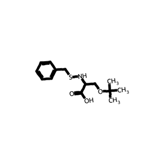 CC(C)(C)OCC(NSCc1ccccc1)C(=O)O